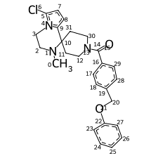 CN1CCn2c(Cl)ccc2C12CCN(C(=O)c1ccc(COc3ccccc3)cc1)CC2